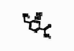 Cl.Cl.NCc1ccc(C(N)=O)nc1